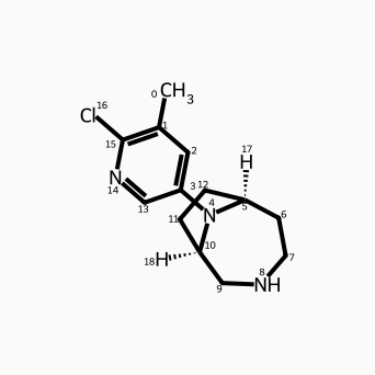 Cc1cc(N2[C@@H]3CCNC[C@H]2CC3)cnc1Cl